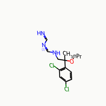 CCCOC(C)(CN/C=N\C=N)c1ccc(Cl)cc1Cl